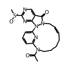 CC(=O)N1CCCC/C=C\Cn2c(=O)c3cnc([S+](C)[O-])nc3n2-c2cccc1n2